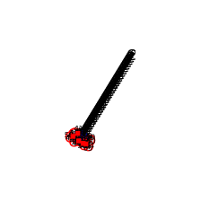 C=C=C=C=C=C=C=C=C=C=C=C=C=C=C=C=C=C=C=C=C=C=C=C=C=C=C=C=C=C=C=C=C=C=C=C(N(C(=O)C(=C)C)C1C=COC1C(=O)OC)N(C(=O)C(=C)C)C1C=COC1C(=O)OC